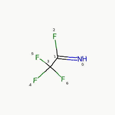 N=C(F)C(F)(F)F